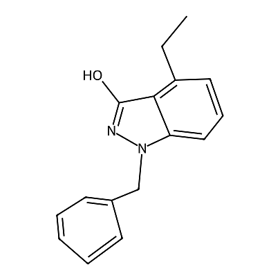 CCc1cccc2c1c(O)nn2Cc1ccccc1